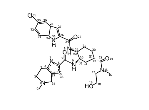 CN1CCc2nc(C(=O)N[C@@H]3C[C@@H](C(=O)N(C)CCO)CC[C@@H]3NC(=O)C3=CC4C=C(Cl)C=CC4N3)sc2C1